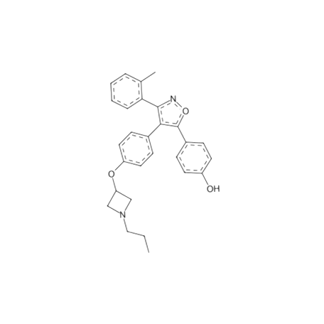 CCCN1CC(Oc2ccc(-c3c(-c4ccccc4C)noc3-c3ccc(O)cc3)cc2)C1